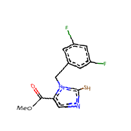 COC(=O)c1cnc(S)n1Cc1cc(F)cc(F)c1